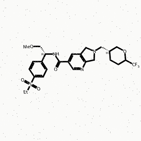 CCS(=O)(=O)c1ccc([C@H](COC)NC(=O)c2cnc3c(c2)CN(C[C@H]2CCC(C(F)(F)F)OC2)C3)cc1